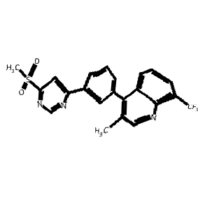 Cc1cnc2c(C(F)(F)F)cccc2c1-c1cccc(-c2cc(S(C)(=O)=O)ncn2)c1